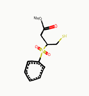 COC(=O)CC(CS)S(=O)(=O)c1ccccc1